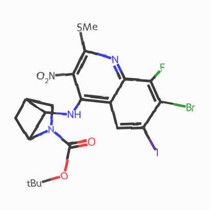 CSc1nc2c(F)c(Br)c(I)cc2c(NC2C3CC2N(C(=O)OC(C)(C)C)C3)c1[N+](=O)[O-]